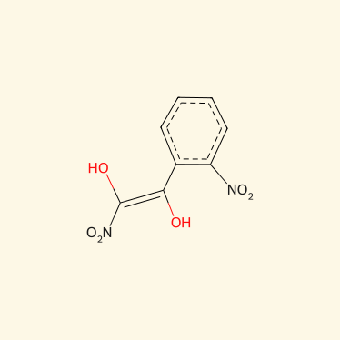 O=[N+]([O-])C(O)=C(O)c1ccccc1[N+](=O)[O-]